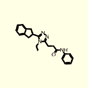 CCn1c(CCC(=O)Nc2ccccc2)nnc1C1Cc2ccccc2C1